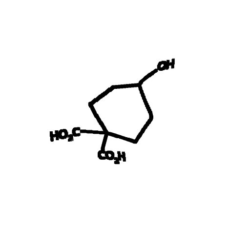 O=C(O)C1(C(=O)O)CCC(O)CC1